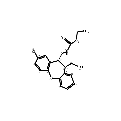 CCOC(=O)NC[C@H]1c2cc(Cl)ccc2Oc2ccccc2[C@@H]1CO